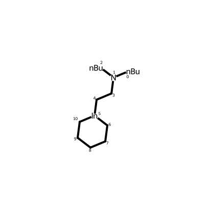 CCCCN(CCCC)C[CH2][In]1[CH2]CCC[CH2]1